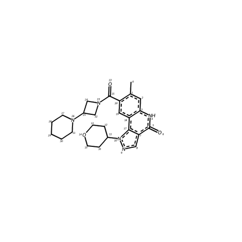 Cc1cc2[nH]c(=O)c3cnn(C4CCOCC4)c3c2cc1C(=O)N1CC(N2CCCCC2)C1